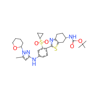 Cc1cc(Nc2ccc(-c3nc4c(s3)CC(NC(=O)OC(C)(C)C)CC4)c(S(=O)(=O)C3CC3)c2)nn1C1CCCCO1